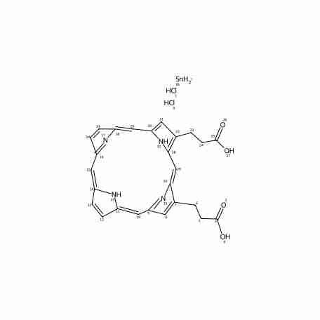 Cl.Cl.O=C(O)CCC1=Cc2cc3ccc(cc4nc(cc5cc(CCC(=O)O)c(cc1n2)[nH]5)C=C4)[nH]3.[SnH2]